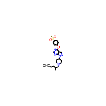 CC(CCC=O)CN1CCC(n2ncc3c(Oc4ccc(S(C)(=O)=O)cc4)ncnc32)CC1